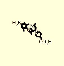 Bc1cc(C)c(-n2cc(C)c3c(N4CCC(CC(=O)O)CC4)cc(C)nc32)c(C)c1